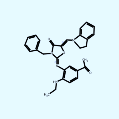 CCNc1ccc(C(C)=O)cc1/N=C1\S/C(=C\N2CCc3ccccc32)C(=O)N1Cc1ccccc1